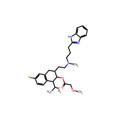 COCC(=O)OC1C(CCN(C)CCCc2nc3ccccc3[nH]2)Cc2cc(F)ccc2C1C(C)C